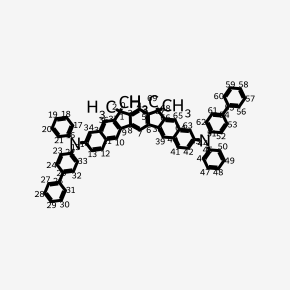 CC1(C)c2cc3c(cc2-c2cc4ccc(N(c5ccccc5)c5ccc(-c6ccccc6)cc5)cc4cc21)-c1cc2ccc(N(c4ccccc4)c4ccc(-c5ccccc5)cc4)cc2cc1C3(C)C